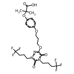 CC(C)(Oc1ccc(OCCCOc2nn(CCCC(F)(F)F)c(=O)n(CCCC(F)(F)F)c2=O)cc1)C(=O)O